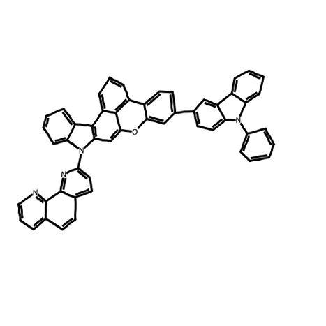 c1ccc(-n2c3ccccc3c3cc(-c4ccc5c(c4)Oc4cc6c(c7cccc-5c47)c4ccccc4n6-c4ccc5ccc6cccnc6c5n4)ccc32)cc1